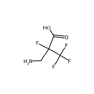 NCC(F)(C(=O)O)C(F)(F)F